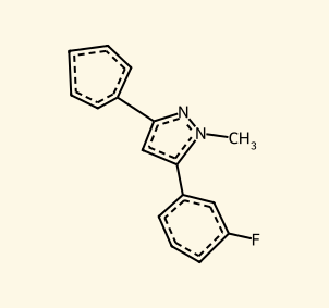 Cn1nc(-c2ccccc2)cc1-c1cccc(F)c1